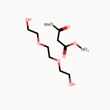 COC(=O)CC(=O)O[N+](=O)[O-].OCCOCCOCCO